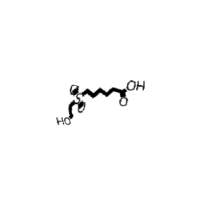 O=C(O)CCCCCS(=O)(=O)CCO